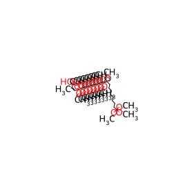 CCOC(CCCCCCCCC(OCC)(OCC)OCC)C(OCC)(OCC)C(OCC)(OCC)C(OCC)(OCC)C(OCC)(OCC)C(OCC)(OCC)C(OCC)(OCC)C(OCC)(OCC)C(C=C(C)C(=O)O)(OCC)OCC